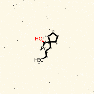 CCCCC1([CH](O)[Pr])CCCC1